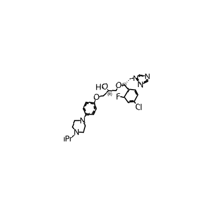 CC(C)N1CCN(c2ccc(OC[C@H](O)CO[C@H](Cn3cncn3)C3C=CC(Cl)=CC3F)cc2)CC1